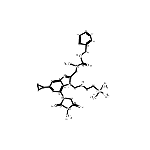 CN(Cc1nc2cc(C3CC3)cc(N3CC(=O)N(C)C3=O)c2n1COCC[Si](C)(C)C)C(=O)OCc1ccccc1